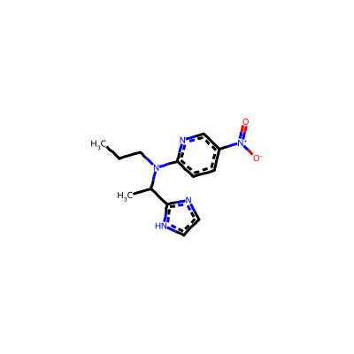 CCCN([C](C)c1ncc[nH]1)c1ccc([N+](=O)[O-])cn1